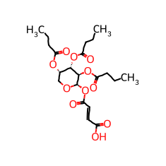 CCCC(=O)O[C@@H]1[C@@H](OC(=O)CCC)[C@@H](OC(=O)/C=C/C(=O)O)OC[C@@H]1OC(=O)CCC